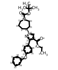 CCOC(=O)c1cn([C@H]2CCCN(C(=O)OC(C)(C)C)CC2)nc1-c1ccc(Oc2ccccc2)cc1